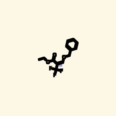 CCOC(=O)/C(=C\OCc1ccccc1)C(F)(F)F